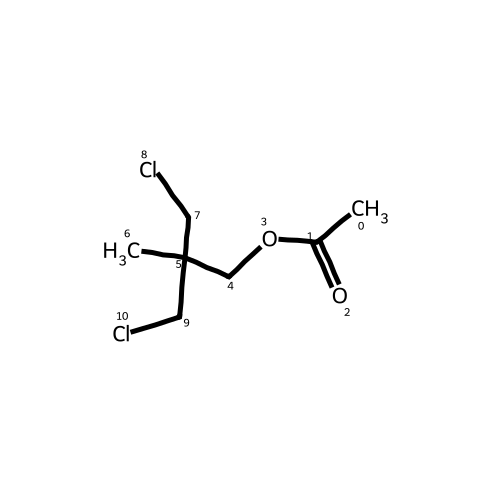 CC(=O)OCC(C)(CCl)CCl